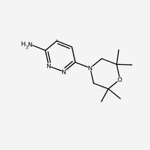 CC1(C)CN(c2c[c]c(N)nn2)CC(C)(C)O1